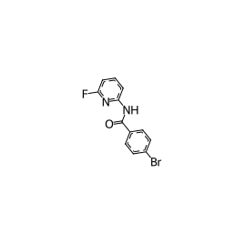 O=C(Nc1cccc(F)n1)c1ccc(Br)cc1